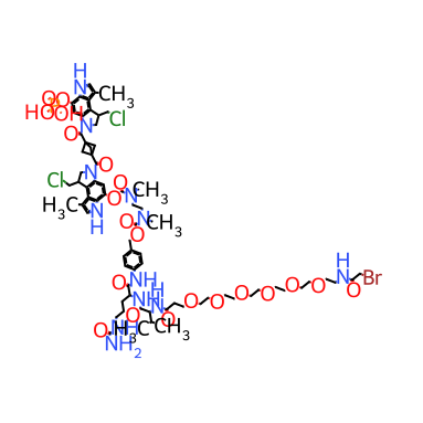 Cc1c[nH]c2c(OC(=O)N(C)CCN(C)C(=O)OCc3ccc(NC(=O)C(CCCNC(N)=O)NC(=O)C(NC(=O)CCOCCOCCOCCOCCOCCOCCNC(=O)CBr)C(C)C)cc3)cc3c(c12)C(CCl)CN3C(=O)C12CC(C(=O)N3CC(CCl)c4c3cc(OP(=O)(O)O)c3[nH]cc(C)c43)(C1)C2